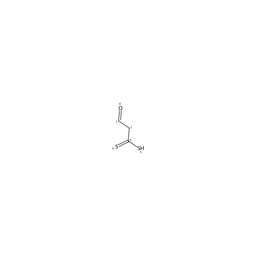 O=CCC(=S)S